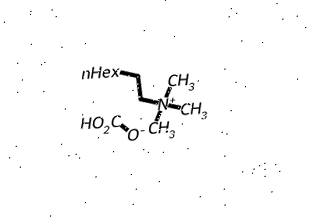 CCCCCCCC[N+](C)(C)C.O=C([O-])O